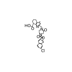 O=C(O)C1CCCc2sc(CN3CCN(S(=O)(=O)c4cc5ccc(Cl)cc5s4)CC3=O)nc21